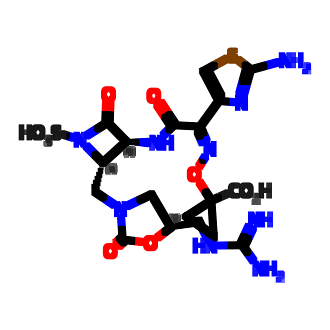 N=C(N)NC[C@@H]1CN(C[C@H]2[C@H](NC(=O)C(=NOC3(C(=O)O)CC3)c3csc(N)n3)C(=O)N2S(=O)(=O)O)C(=O)O1